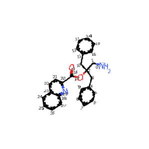 NCC(Cc1ccccc1)(Cc1ccccc1)OC(=O)c1ccc2ccccc2n1